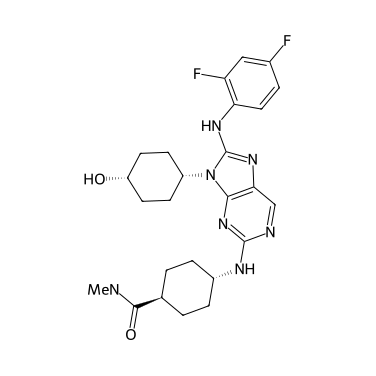 CNC(=O)[C@H]1CC[C@H](Nc2ncc3nc(Nc4ccc(F)cc4F)n([C@H]4CC[C@@H](O)CC4)c3n2)CC1